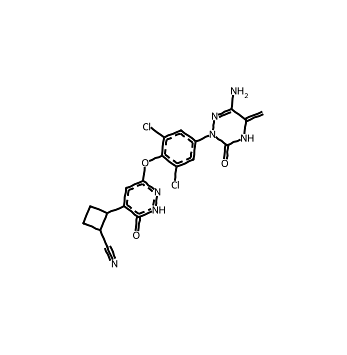 C=C1NC(=O)N(c2cc(Cl)c(Oc3cc(C4CCC4C#N)c(=O)[nH]n3)c(Cl)c2)N=C1N